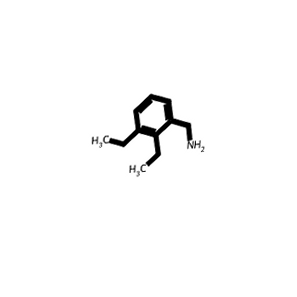 CCc1c[c]cc(CN)c1CC